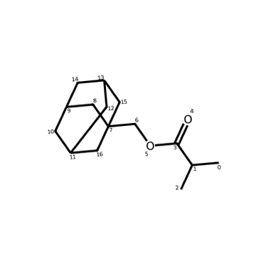 CC(C)C(=O)OCC12CC3CC(CC(C3)C1)C2